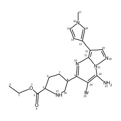 CCOC(=O)C1CCC(c2nc3c(-c4ccn(C)c4)cnn3c(N)c2Br)CN1